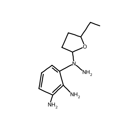 CCC1CCC(N(N)c2cccc(N)c2N)O1